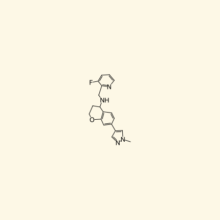 Cn1cc(-c2ccc3c(c2)OCCC3NCc2ncccc2F)cn1